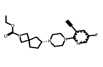 C#Cc1cc(F)cnc1N1CCN([C@@H]2CCC3(C2)CN(C(=O)OCC)C3)CC1